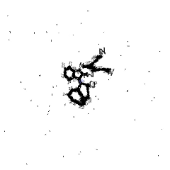 N#Cc1nc2c(nc1C#N)-c1ccccc1/C2=C1/C(=O)Cc2ccccc21